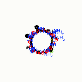 CCCC[C@H]1C(=O)N(C)[C@@H](CCCC)C(=O)N[C@@H](CCCNC(=N)N)C(=O)N[C@H](C(=O)NCC(N)=O)CSCC(=O)N[C@H]2Cc3cc(F)c(F)cc3N(C2=O)[C@@H](C)C(=O)N[C@@H](CC(N)=O)C(=O)N2CCC[C@H]2C(=O)N[C@@H](Cc2cnc[nH]2)C(=O)N[C@@H](CC(C)C)C(=O)N(C)CC(=O)N[C@@H](Cc2c[nH]c3ccccc23)C(=O)N[C@@H](CO)C(=O)N[C@@H](Cc2c[nH]c3ccccc23)C(=O)N1C